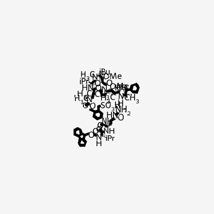 CC[C@H](C)[C@@H]([C@@H](CC(=O)N1CCC[C@H]1[C@H](OC)[C@@H](C)C(=O)N[C@H](C)[C@@H](O)c1ccccc1)OC)N(C)C(=O)[C@@H](NC(=O)C(C)(C)CN(C)C(=O)OCc1ccc(NC(=O)[C@H](CCCNC(N)=O)NC(=O)[C@@H](NC(=O)OCC2c3ccccc3-c3ccccc32)C(C)C)cc1CS(=O)(=O)O)C(C)C